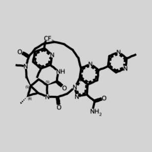 Cc1ncc(-c2cc3c(C(N)=O)nn4c3c(n2)CCCCCCC(=O)N(C)C[C@@]23C[C@@H](C(=O)Nc5nc(C(F)(F)F)ccc5C)N(C(=O)C4)C2[C@@H]3C)cn1